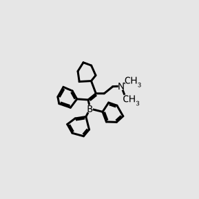 CN(C)CC/C(=C(\B(c1ccccc1)c1ccccc1)c1ccccc1)C1CCCCC1